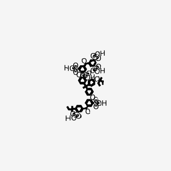 CCC(C)(CC)Oc1ccc(C(C)(c2ccc(Oc3ccc(C(=O)c4ccc(C(C)(C)CC)c(S(=O)(=O)O)c4)cc3S(=O)(=O)O)cc2)c2ccc(Oc3c(S(=O)(=O)O)cc(C(=O)c4cc(S(=O)(=O)O)cc(S(=O)(=O)O)c4)cc3S(=O)(=O)O)cc2)cc1